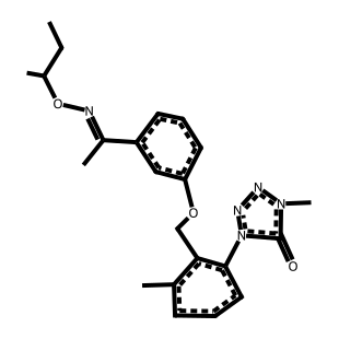 CCC(C)O/N=C(\C)c1cccc(OCc2c(C)cccc2-n2nnn(C)c2=O)c1